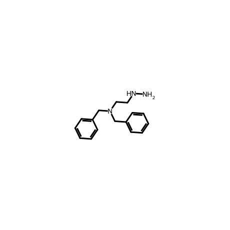 NNCCN(Cc1ccccc1)Cc1ccccc1